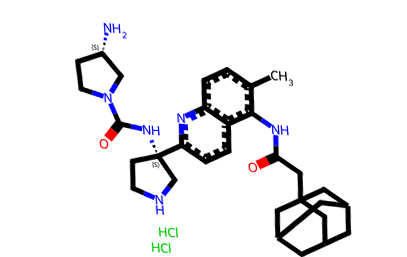 Cc1ccc2nc([C@]3(NC(=O)N4CC[C@H](N)C4)CCNC3)ccc2c1NC(=O)CC12CC3CC(CC(C3)C1)C2.Cl.Cl